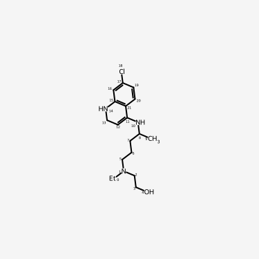 CCN(CCO)CCCC(C)NC1=CCNc2cc(Cl)ccc21